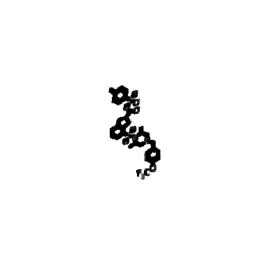 Cc1ccc(S(=O)(=O)OC(=O)C2Cc3cccc(S(=O)(=O)N4C(C)CN(Cc5ccc(OC(F)(F)F)cc5)CC4C)c3C2)cc1